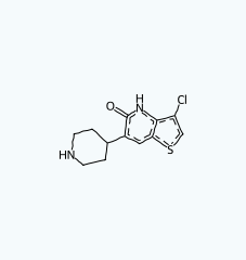 O=c1[nH]c2c(Cl)csc2cc1C1CCNCC1